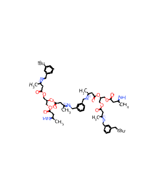 CC(=N)CC(=O)OCC(COC(=O)C/C(C)=N\Cc1cccc(C(C)(C)C)c1)OC(=O)C/C(C)=N/Cc1cccc(C/N=C(\C)CC(=O)OC(COC(=O)CC(C)=N)COC(=O)C/C(C)=N/Cc2cccc(CC(C)(C)C)c2)c1